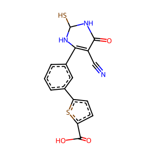 N#CC1=C(c2cccc(-c3ccc(C(=O)O)s3)c2)NC(S)NC1=O